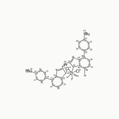 [CH2]=[Zr]([CH3])([CH3])([Cl])([Cl])([CH]1C(C(C)C)=Cc2c(-c3ccc(C(C)(C)C)cc3)cccc21)[CH]1C(C)=Cc2c(-c3ccc(C(C)(C)C)cc3)ccc(C)c21